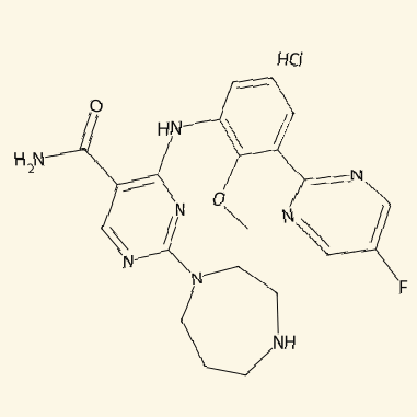 COc1c(Nc2nc(N3CCCNCC3)ncc2C(N)=O)cccc1-c1ncc(F)cn1.Cl